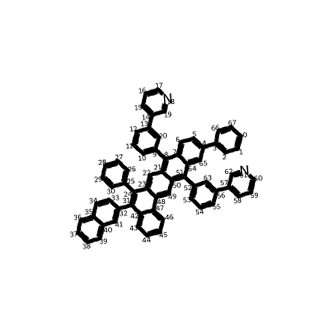 c1ccc(-c2ccc3c(-c4cccc(-c5cccnc5)c4)c4cc5c(-c6ccccc6)c(-c6ccc7ccccc7c6)c6ccccc6c5cc4c(-c4cccc(-c5cccnc5)c4)c3c2)cc1